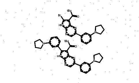 CC(C)(C)C(=O)c1c(-c2cccc(N3CCCC3)c2)[nH]c2ncc(-c3cccc(N4CCCC4)c3)nc12.CC(C)(C)C(=O)c1c(Br)[nH]c2ncc(-c3cccc(N4CCCC4)c3)nc12